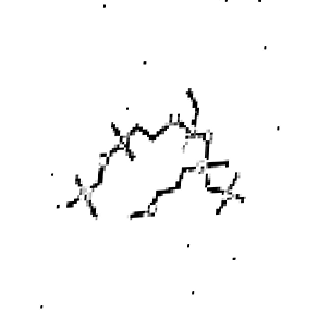 CC[Si@](C)(OCC[Si](C)(C)OC[Si](C)(C)C)O[Si](C)(CCCOC)C[Si](C)(C)C